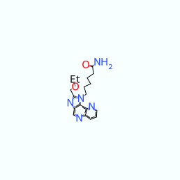 CCOCc1nc2cnc3cccnc3c2n1CCCCCC(N)=O